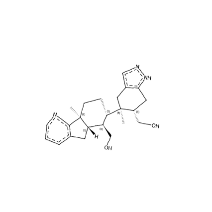 C[C@]1([C@H]2CC[C@]3(C)c4ncccc4C[C@H]3[C@@H]2CO)Cc2cn[nH]c2C[C@@H]1CO